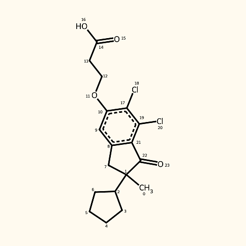 CC1(C2CCCC2)Cc2cc(OCCC(=O)O)c(Cl)c(Cl)c2C1=O